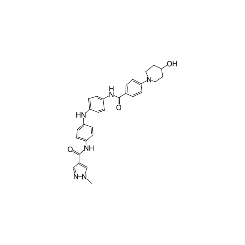 Cn1cc(C(=O)Nc2ccc(Nc3ccc(NC(=O)c4ccc(N5CCC(O)CC5)cc4)cc3)cc2)cn1